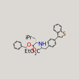 CCOC(=O)C(Cc1ccc(-c2csc3ccccc23)cc1)N[C@@H](CC(C)C)C(=O)OCc1ccccc1